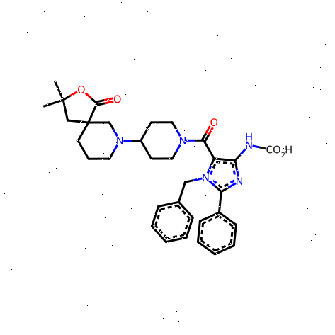 CC1(C)CC2(CCCN(C3CCN(C(=O)c4c(NC(=O)O)nc(-c5ccccc5)n4Cc4ccccc4)CC3)C2)C(=O)O1